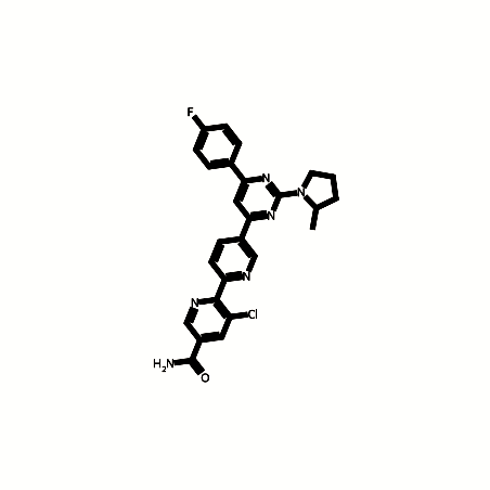 CC1CCCN1c1nc(-c2ccc(F)cc2)cc(-c2ccc(-c3ncc(C(N)=O)cc3Cl)nc2)n1